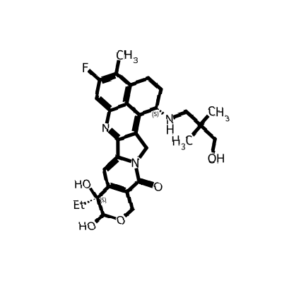 CC[C@]1(O)c2cc3n(c(=O)c2COC1O)Cc1c-3nc2cc(F)c(C)c3c2c1[C@@H](NCC(C)(C)CO)CC3